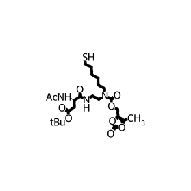 CC(=O)N[C@@H](CC(=O)OC(C)(C)C)C(=O)NCCN(CCCCCCS)C(=O)OCc1oc(=O)oc1C